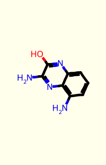 Nc1nc2c(N)cccc2nc1O